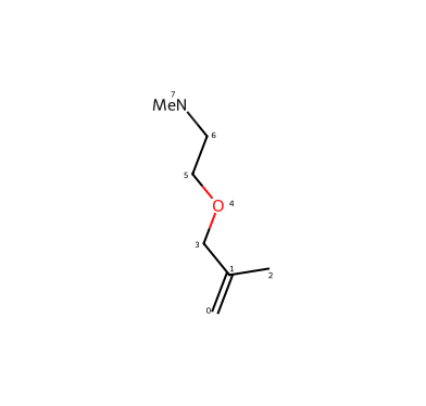 C=C(C)COCCNC